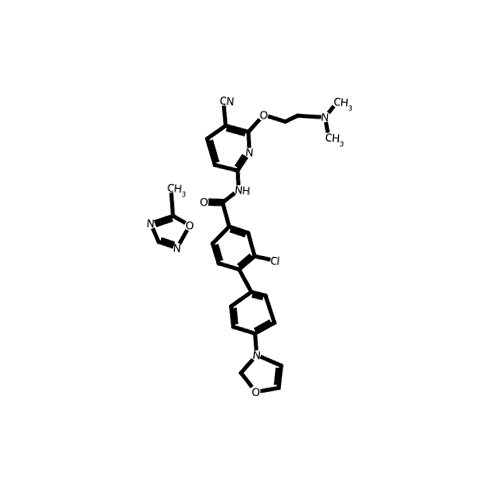 CN(C)CCOc1nc(NC(=O)c2ccc(-c3ccc(N4C=COC4)cc3)c(Cl)c2)ccc1C#N.Cc1ncno1